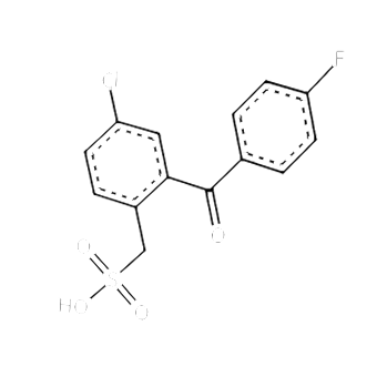 O=C(c1ccc(F)cc1)c1cc(Cl)ccc1CS(=O)(=O)O